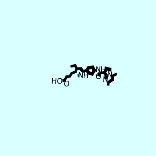 CCC(/C=C(\NC)c1ccc(NC(=O)c2ccn3c(C)cc(C)nc23)cc1)CCCCC(=O)O